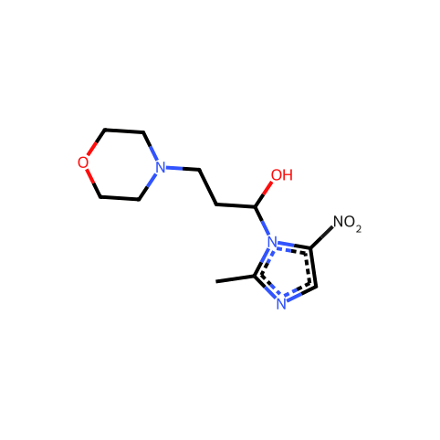 Cc1ncc([N+](=O)[O-])n1C(O)CCN1CCOCC1